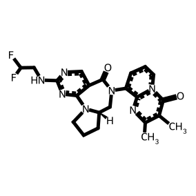 Cc1nc2c(N3C[C@@H]4CCCN4c4nc(NCC(F)F)ncc4C3=O)cccn2c(=O)c1C